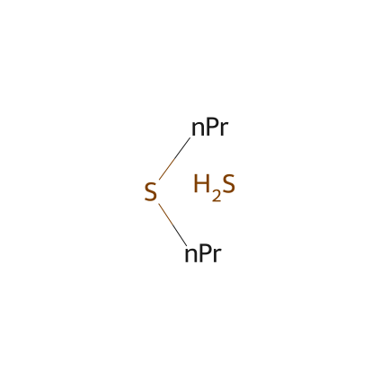 CCCSCCC.S